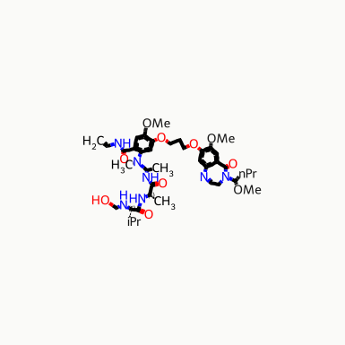 C=CNC(=O)c1cc(OC)c(OCCCOc2cc3c(cc2OC)C(=O)N(C(CCC)OC)CC=N3)cc1N(C)C(C)NC(=O)[C@H](C)NC(=O)[C@@H](NCO)C(C)C